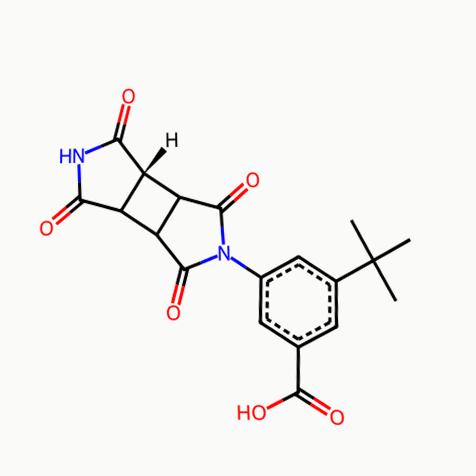 CC(C)(C)c1cc(C(=O)O)cc(N2C(=O)C3C4C(=O)NC(=O)[C@@H]4C3C2=O)c1